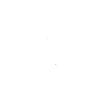 Cc1ncc(C(C)(C)C)cc1NC(=O)c1cc2cccc(Oc3ccncc3)c2n1C